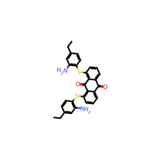 CCc1ccc(Sc2cccc3c2C(=O)c2c(Sc4ccc(CC)cc4N)cccc2C3=O)c(N)c1